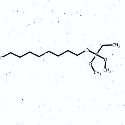 CCCCCCCCCO[Si](CC)(OC)OC